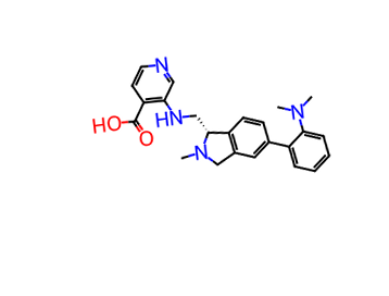 CN(C)c1ccccc1-c1ccc2c(c1)CN(C)[C@@H]2CNc1cnccc1C(=O)O